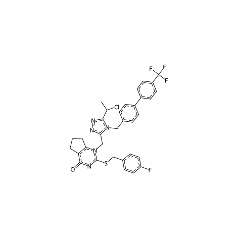 CC(Cl)c1nnc(Cn2c(SCc3ccc(F)cc3)nc(=O)c3c2CCC3)n1Cc1ccc(-c2ccc(C(F)(F)F)cc2)cc1